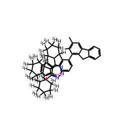 [2H]C1C([2H])([2H])C([2H])([2H])C([2H])([2H])C([2H])([2H])C1([2H])c1nnnc(C2C([2H])([2H])C([2H])([2H])C([2H])([2H])C([2H])([2H])C2([2H])c2c(-c3c(C)c(C)cc4c3Cc3ccccc3-4)ccc3oc4ccccc4c23)c1C1([2H])C([2H])C([2H])([2H])C([2H])([2H])C([2H])([2H])C1([2H])[2H]